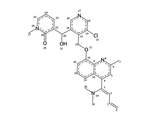 C=C/C=C(/c1cc(C)nc2c(OCc3c(Cl)cncc3C(O)c3cccn(C)c3=O)cccc12)N(C)C